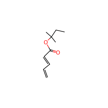 C=CC=CC(=O)OC(C)(C)CC